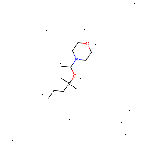 CCC[Si](C)(C)OC(C)N1CCOCC1